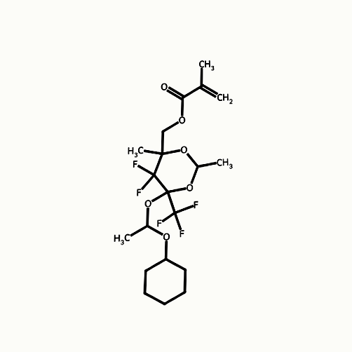 C=C(C)C(=O)OCC1(C)OC(C)OC(OC(C)OC2CCCCC2)(C(F)(F)F)C1(F)F